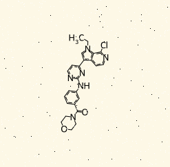 CCn1cc(-c2ccnc(Nc3cccc(C(=O)N4CCOCC4)c3)n2)c2ccnc(Cl)c21